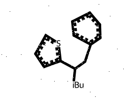 CCC(C)C(Cc1ccccc1)c1cccs1